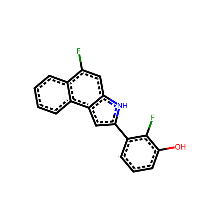 Oc1cc[c]c(-c2cc3c(cc(F)c4ccccc43)[nH]2)c1F